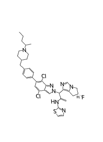 C=C(Nc1nccs1)C(c1ncn2c1C[C@@H](F)C2)n1cc2c(Cl)cc(-c3ccc(CC4CCN(C(C)CCC)CC4)cc3)c(Cl)c2n1